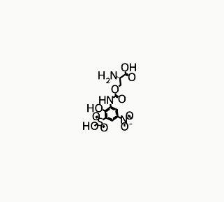 N[C@@H](COC(=O)Nc1cc([N+](=O)[O-])cc(S(=O)(=O)O)c1O)C(=O)O